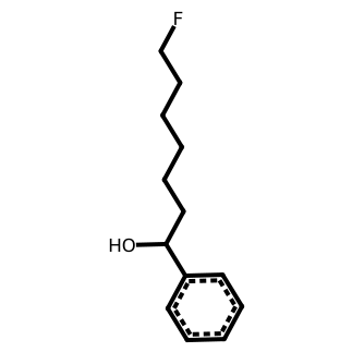 OC(CCCCCCF)c1ccccc1